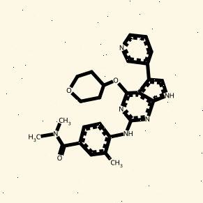 Cc1cc(C(=O)N(C)C)ccc1Nc1nc(OC2CCOCC2)c2c(-c3cccnc3)c[nH]c2n1